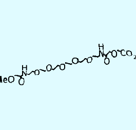 COCC(=O)NCCOCCOCCOCCOCCOCCNC(=O)COCC(=O)O